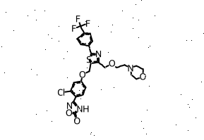 O=c1[nH]c(-c2ccc(OCc3sc(-c4ccc(C(F)(F)F)cc4)nc3COCCN3CCOCC3)cc2Cl)no1